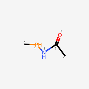 CPNC(C)=O